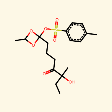 CCC(C)(O)C(=O)CCCC1(OS(=O)(=O)c2ccc(C)cc2)OC(C)O1